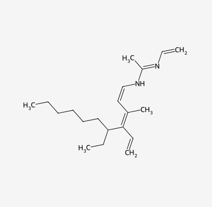 C=C/N=C(\C)N/C=C\C(C)=C(\C=C)C(CC)CCCCCC